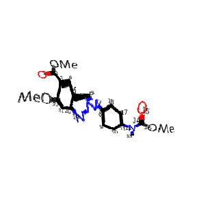 COC(=O)c1cc2cn(C3CCC(N(C)C(=O)OC)CC3)nc2cc1OC